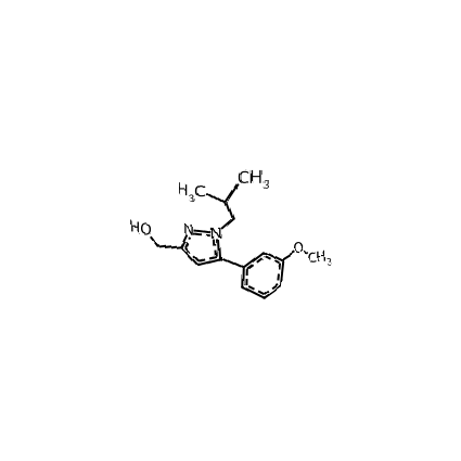 COc1cccc(-c2cc(CO)nn2CC(C)C)c1